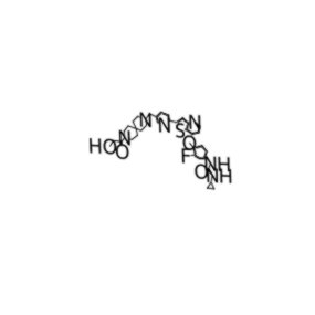 O=C(Nc1ccc(Oc2ccnc3cc(-c4ccc(CN5CCC6(CC5)CCN(C(=O)CO)CC6)cn4)sc23)c(F)c1)NC1CC1